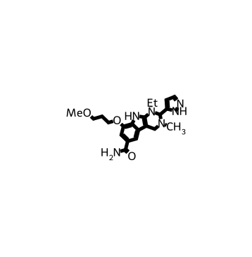 CCN1c2[nH]c3c(OCCCOC)cc(C(N)=O)cc3c2CN(C)C1c1ccn[nH]1